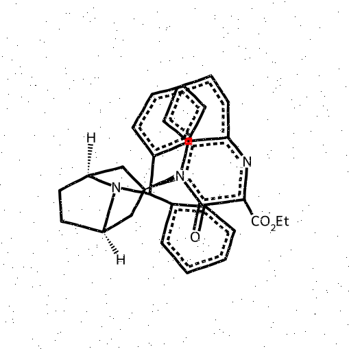 CCOC(=O)c1nc2ccccc2n([C@H]2C[C@H]3CC[C@@H](C2)N3C(c2ccccc2)c2ccccc2)c1=O